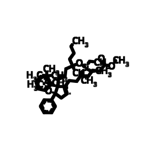 CCCCC(C)(C/C=C/[C@]1(c2ccccc2)C(CCCCCCC(=O)OC)=[C]C[C@@]1(O[Si](C)(C)C(C)(C)C)c1ccccc1)O[Si](CC)(CC)CC